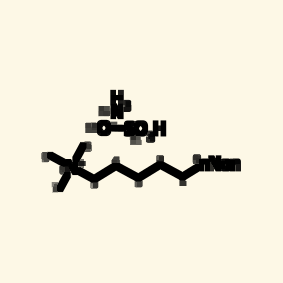 CCCCCCCCCCCCCC[N+](C)(C)C.N.O=S(=O)([O-])O